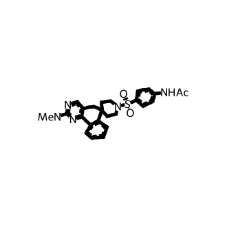 CNc1ncc2c(n1)-c1ccccc1C1(CCN(S(=O)(=O)c3ccc(NC(C)=O)cc3)CC1)C2